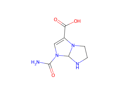 NC(=O)N1C=C(C(=O)O)N2CCNC12